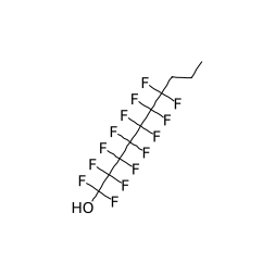 CCCC(F)(F)C(F)(F)C(F)(F)C(F)(F)C(F)(F)C(F)(F)C(O)(F)F